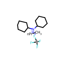 C1CCC([NH2+]C2CCCCC2)CC1.CCCC.F[B-](F)(F)F